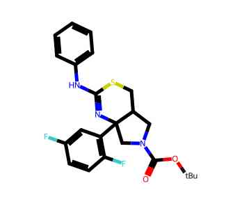 CC(C)(C)OC(=O)N1CC2CSC(Nc3ccccc3)=NC2(c2cc(F)ccc2F)C1